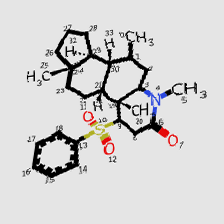 CC1CC2N(C)C(=O)CC(S(=O)(=O)c3ccccc3)[C@]2(C)[C@@H]2CC[C@]3(C)CCC[C@H]3[C@H]12